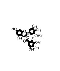 COc1cc([C@H]2Oc3cc(O)cc(O)c3CC2OC(=O)c2cc(O)c(O)c(O)c2F)cc(O)c1O